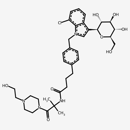 CC(C)(NC(=O)CCCc1ccc(Cn2cc([C@@H]3O[C@H](CO)[C@@H](O)[C@H](O)[C@H]3O)c3cccc(Cl)c32)cc1)C(=O)N1CCN(CCO)CC1